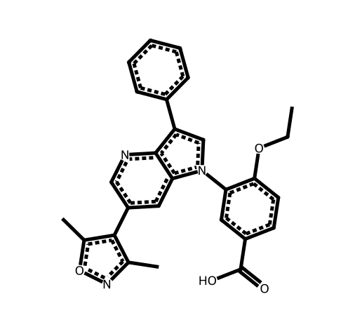 CCOc1ccc(C(=O)O)cc1-n1cc(-c2ccccc2)c2ncc(-c3c(C)noc3C)cc21